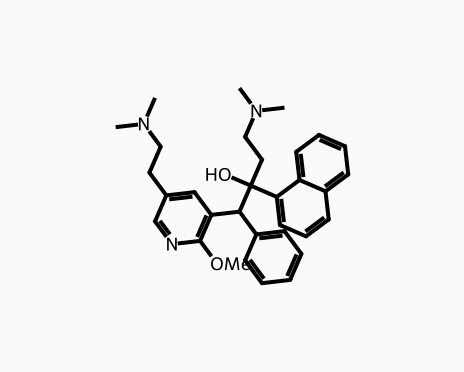 COc1ncc(CCN(C)C)cc1C(c1ccccc1)C(O)(CCN(C)C)c1cccc2ccccc12